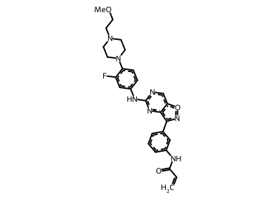 C=CC(=O)Nc1cccc(-c2noc3cnc(Nc4ccc(N5CCN(CCOC)CC5)c(F)c4)nc23)c1